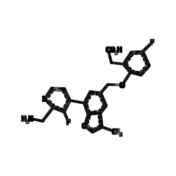 NCc1nccc(-c2cc(COc3ccc(F)cc3CC(=O)O)cc3c(C(F)(F)F)coc23)c1F